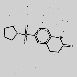 O=C1CCc2cc(S(=O)(=O)N3CCCC3)ccc2N1